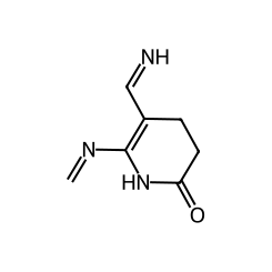 C=NC1=C(C=N)CCC(=O)N1